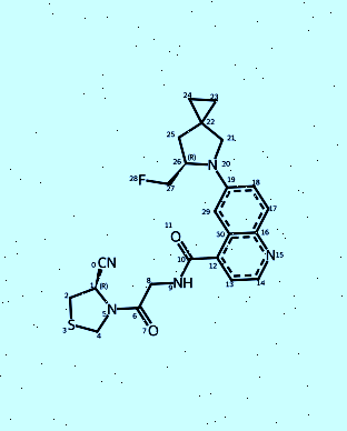 N#C[C@@H]1CSCN1C(=O)CNC(=O)c1ccnc2ccc(N3CC4(CC4)C[C@@H]3CF)cc12